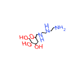 NCCNCCNCC1CC(O)C(O)C(O)O1